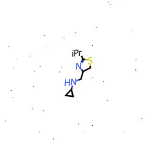 CC(C)C1=NC(CNC2CC2)CS1